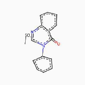 CS(=O)(=O)O.O=c1c2ccccc2ncn1-c1ccccc1